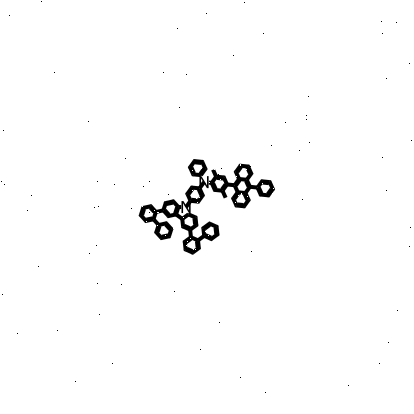 Cc1cc(N(c2ccccc2)c2ccc(N3c4ccc(-c5ccccc5-c5ccccc5)cc4C4C=C(c5ccccc5-c5ccccc5)C=CC43)cc2)c(C)cc1-c1c2ccccc2c(-c2ccccc2)c2ccccc12